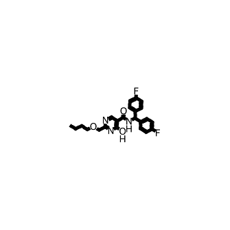 CCCCOCc1ncc(C(=O)NC(c2ccc(F)cc2)c2ccc(F)cc2)c(O)n1